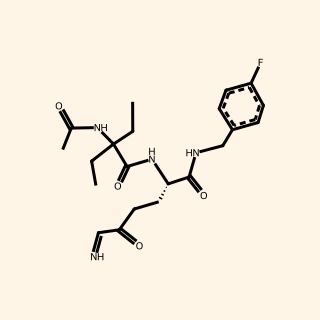 CCC(CC)(NC(C)=O)C(=O)N[C@@H](CCC(=O)C=N)C(=O)NCc1ccc(F)cc1